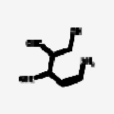 N/C=C\C(C=O)C(C=O)CO